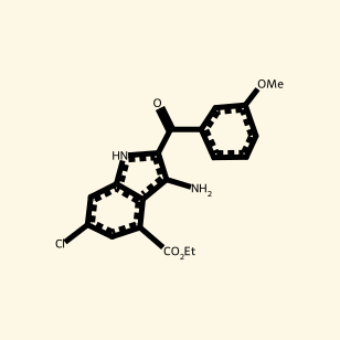 CCOC(=O)c1cc(Cl)cc2[nH]c(C(=O)c3cccc(OC)c3)c(N)c12